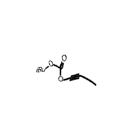 CC#COC(=O)OC(C)CC